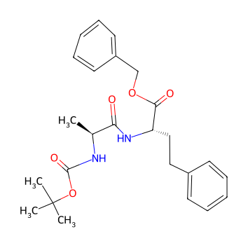 C[C@H](NC(=O)OC(C)(C)C)C(=O)N[C@@H](CCc1ccccc1)C(=O)OCc1ccccc1